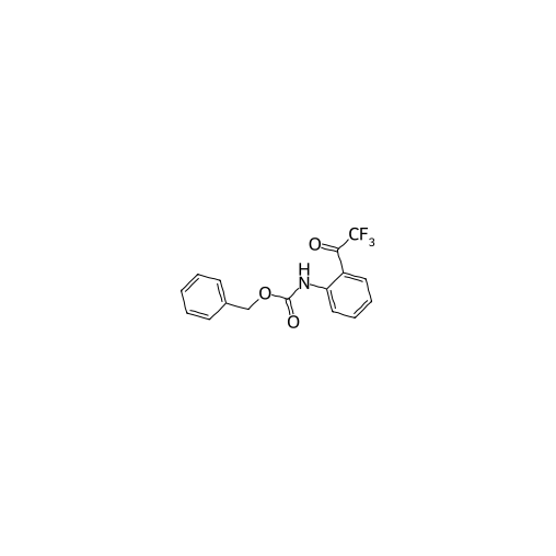 O=C(Nc1ccccc1C(=O)C(F)(F)F)OCc1ccccc1